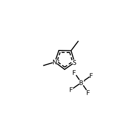 Cc1c[n+](C)cs1.F[B-](F)(F)F